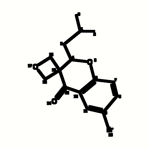 CC(C)CC1Oc2ccc(Br)cc2C(=O)C12COC2